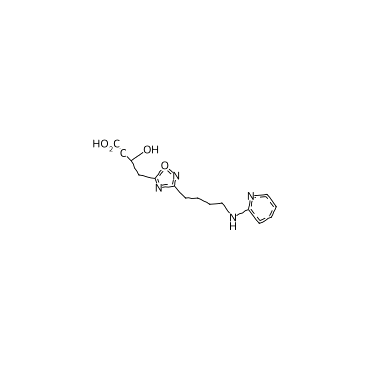 O=C(O)CC(O)Cc1nc(CCCCNc2ccccn2)no1